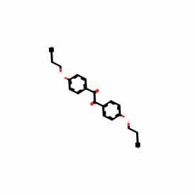 C#CCCOc1ccc(C(=O)C(=O)c2ccc(OCCC#C)cc2)cc1